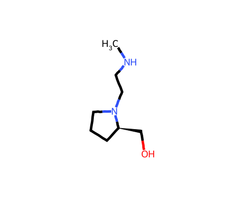 CNCCN1CCC[C@@H]1CO